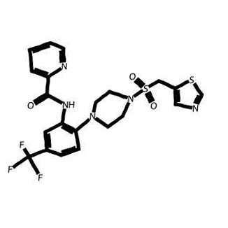 O=C(Nc1cc(C(F)(F)F)ccc1N1CCN(S(=O)(=O)Cc2cncs2)CC1)c1ccccn1